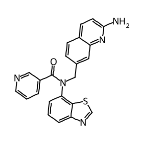 Nc1ccc2ccc(CN(C(=O)c3cccnc3)c3cccc4ncsc34)cc2n1